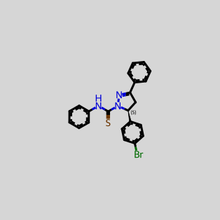 S=C(Nc1ccccc1)N1N=C(c2ccccc2)C[C@H]1c1ccc(Br)cc1